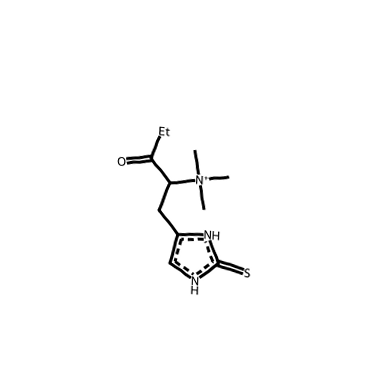 CCC(=O)C(Cc1c[nH]c(=S)[nH]1)[N+](C)(C)C